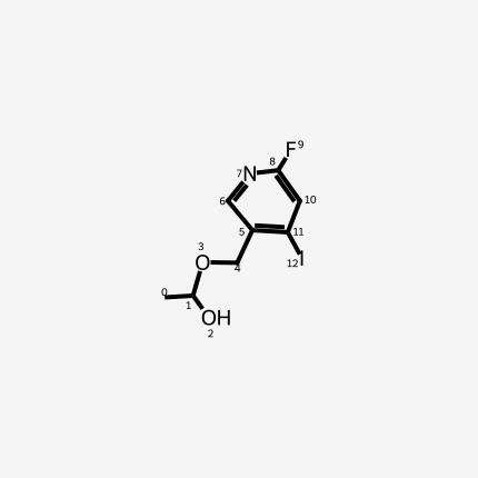 CC(O)OCc1cnc(F)cc1I